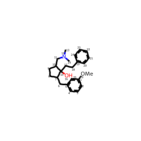 COc1cccc(CC2CCC(CN(C)C)C2(O)CCc2ccccc2)c1